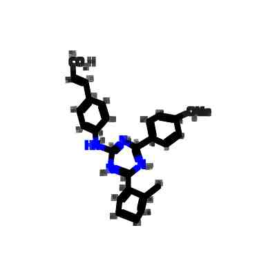 COc1ccc(-c2nc(Nc3ccc(/C=C/C(=O)O)cc3)nc(-c3ccccc3C)n2)cc1